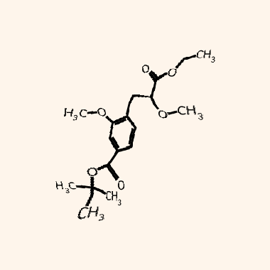 CCOC(=O)[C@H](Cc1ccc(C(=O)OC(C)(C)C)cc1OC)OC